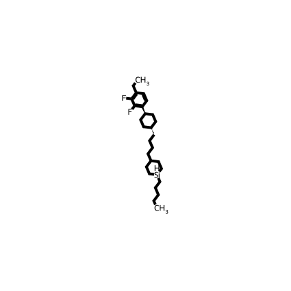 CCCCC[SiH]1CCC(CCCC[C@H]2CC[C@H](c3ccc(CC)c(F)c3F)CC2)CC1